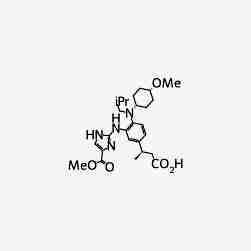 COC(=O)c1c[nH]c(Nc2cc([C@H](C)CC(=O)O)ccc2N(CC(C)C)[C@H]2CC[C@@H](OC)CC2)n1